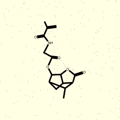 C=C(C)C(=O)NCC(=O)OC1C2CC3C1OC(=O)C3C2C